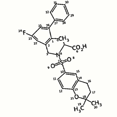 Cc1c(CN(CC(=O)O)S(=O)(=O)c2ccc3c(c2)CCC(C)(C)O3)cc(F)cc1-c1ccccc1